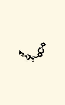 O=C(NCc1ccc2c(c1)CCN(C1CCC1)CC2)c1cnc(NCC2CC2)nc1